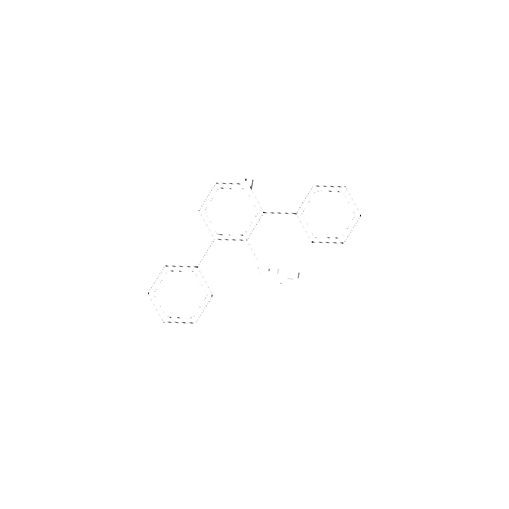 CCOC(=O)c1c(-c2ccccc2)ccnc1-c1ccccc1